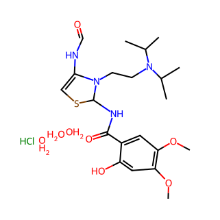 COc1cc(O)c(C(=O)NC2SC=C(NC=O)N2CCN(C(C)C)C(C)C)cc1OC.Cl.O.O.O